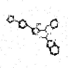 CCCn1c(-c2ccc(-n3ccnc3)cc2)cnc1C(Cc1ccncc1)NC(=O)c1cc2ccccc2[nH]1